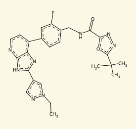 CCn1cc(-c2nc3c(-c4ccc(CNC(=O)c5nnc(C(C)(C)C)o5)c(F)c4)ccnc3[nH]2)cn1